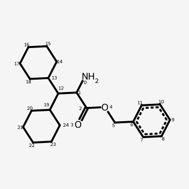 NC(C(=O)OCc1ccccc1)C(C1CCCCC1)C1CCCCC1